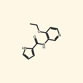 CCOc1ccncc1NC(=O)c1ccc[nH]1